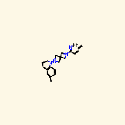 C=C/C=C\C(=N/CC)N1CC2(C1)CN(N1CCCc3cc(C)ccc31)C2